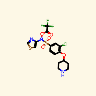 O=C(ON(c1cscn1)S(=O)(=O)c1ccc(OC2CCNCC2)c(Cl)c1)C(F)(F)F